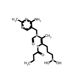 CCCC(=O)S/C(CCCP(O)O)=C(/C)N(C=O)Cc1cnc(C)nc1N